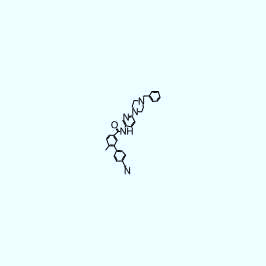 Cc1ccc(C(=O)Nc2ccc(N3CCN(Cc4ccccc4)CC3)nc2)cc1-c1ccc(C#N)cc1